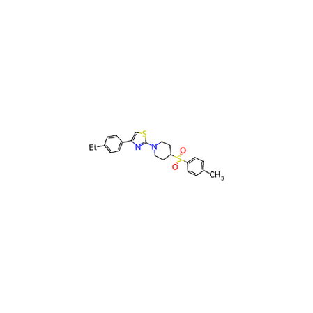 CCc1ccc(-c2csc(N3CCC(S(=O)(=O)c4ccc(C)cc4)CC3)n2)cc1